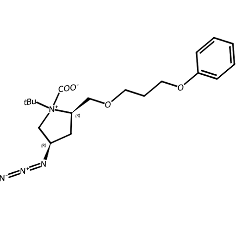 CC(C)(C)[N+]1(C(=O)[O-])C[C@H](N=[N+]=[N-])C[C@@H]1COCCCOc1ccccc1